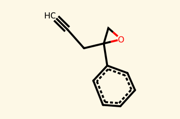 C#CCC1(c2ccccc2)CO1